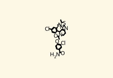 Cc1nn2c3c(nc2s1)CCN(C(=O)COc1ccc(C(N)=O)cc1Cl)C3c1ccc(Cl)cc1F